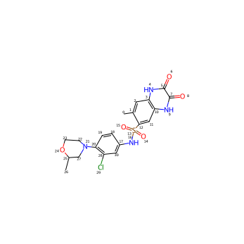 Cc1cc2[nH]c(=O)c(=O)[nH]c2cc1S(=O)(=O)Nc1ccc(N2CCOC(C)C2)c(Cl)c1